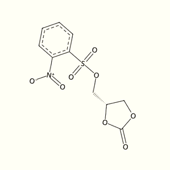 O=C1OC[C@@H](COS(=O)(=O)c2ccccc2[N+](=O)[O-])O1